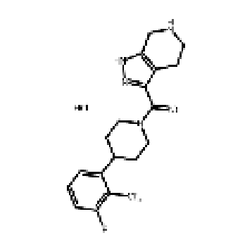 Cl.O=C(c1n[nH]c2c1CCNC2)N1CCC(c2cccc(F)c2C(F)(F)F)CC1